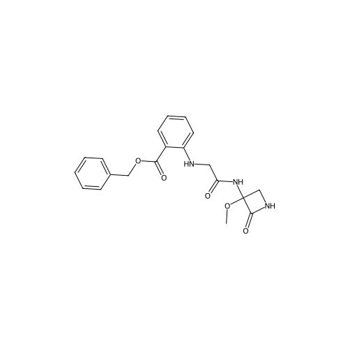 COC1(NC(=O)CNc2ccccc2C(=O)OCc2ccccc2)CNC1=O